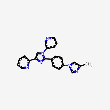 Cc1cn(-c2ccc(-c3nc(-c4ccccn4)cn3-c3cccnc3)cc2)cn1